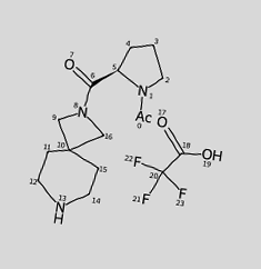 CC(=O)N1CCC[C@@H]1C(=O)N1CC2(CCNCC2)C1.O=C(O)C(F)(F)F